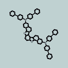 c1ccc(-c2ccc(N(c3ccc(-c4ccccc4)cc3)c3ccc4c(ccc5c4oc4ccc6oc7c8ccc(N(c9ccc(-c%10ccccc%10)cc9)c9ccc(-c%10ccccc%10)cc9)cc8ccc7c6c45)c3)cc2)cc1